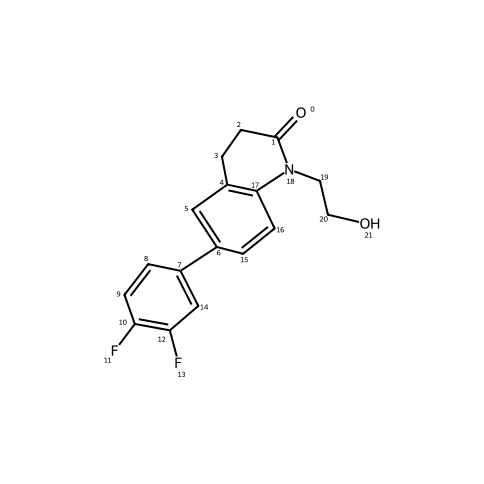 O=C1CCc2cc(-c3ccc(F)c(F)c3)ccc2N1CCO